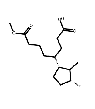 COC(=O)CCCC(CCC(=O)O)[C@H]1CC[C@@H](C)C1C